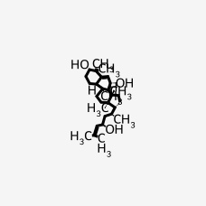 CC(C)=C[C@H](O)C[C@@H](C)[C@H]1CC[C@@]2(C)[C@@H]3[C@@H](O)C=C4[C@@H](CC[C@H](O)C4(C)C)[C@]3(C)CC[C@]12C